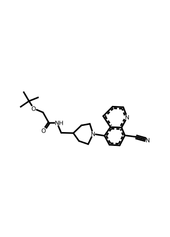 CC(C)(C)OCC(=O)NCC1CCN(c2ccc(C#N)c3ncccc23)CC1